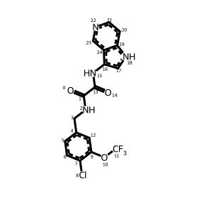 O=C(NCc1ccc(Cl)c(OC(F)(F)F)c1)C(=O)Nc1c[nH]c2ccncc12